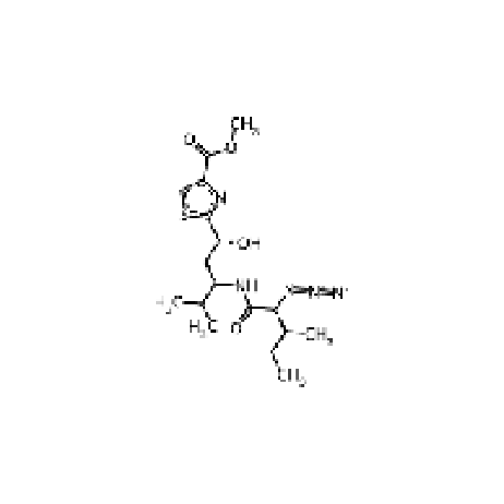 CCC(C)[C@H](N=[N+]=[N-])C(=O)N[C@H](C[C@@H](O)c1nc(C(=O)OC)cs1)C(C)C